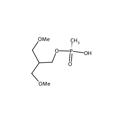 COCC(COC)CO[P@](C)(=O)O